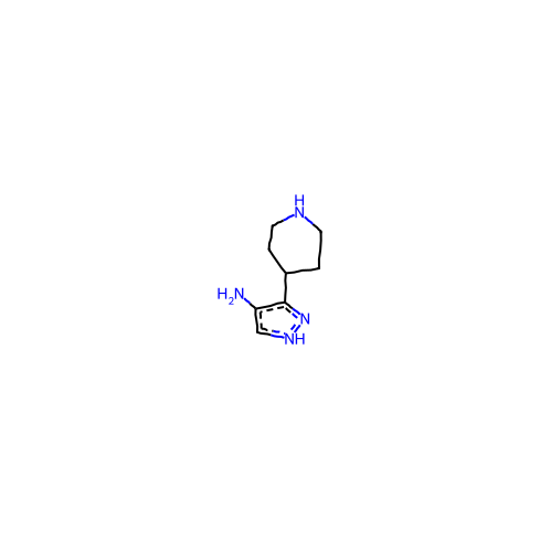 Nc1c[nH]nc1C1CCNCC1